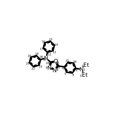 CCN(CC)c1ccc(-c2nnc(N(c3ccccc3)c3ccccc3)o2)cc1